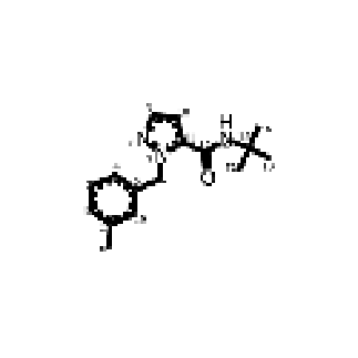 Cc1cccc(Cn2nccc2C(=O)NC(C)(C)C)c1